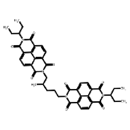 CCC(CC)N1C(=O)c2ccc3c4c(ccc(c24)C1=O)C(=O)N(CCCC(C)CN1C(=O)c2ccc4c5c(ccc(c25)C1=O)C(=O)N(C(CC)CC)C4=O)C3=O